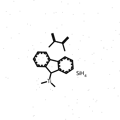 C=C(C)C(=C)C.[CH3][Ti]([CH3])[CH]1c2ccccc2-c2ccccc21.[SiH4]